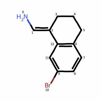 N/C=C1\CCCc2ccc(Br)cc21